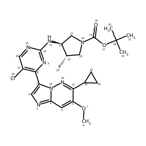 COc1cc2ncc(-c3nc(N[C@H]4CN(C(=O)OC(C)(C)C)C[C@@H]4F)ncc3Cl)n2nc1C1CC1